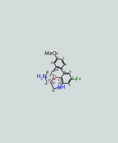 COc1ccc(-c2cc(F)cc3c2O[C@@H](CN)CN3)c(C(F)(F)F)c1